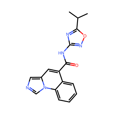 CC(C)c1nc(NC(=O)c2cc3cncn3c3ccccc23)no1